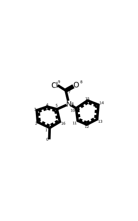 Cc1cccc(N(C(=O)Cl)c2ccccc2)c1